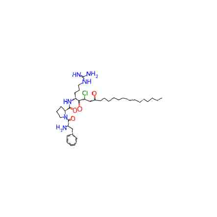 CCCCCCCCCCCCCCC(=O)CC(Cl)C(=O)[C@H](CCCNC(=N)N)NC(=O)[C@@H]1CCCN1C(=O)[C@H](N)Cc1ccccc1